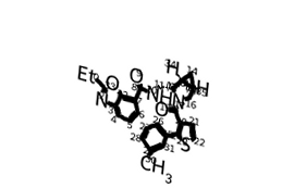 CCc1nc2cccc(C(=O)NC[C@@H]3[C@H]4C[C@H]4CN3C(=O)c3ccsc3-c3cccc(C)c3)c2o1